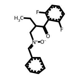 CCC(C[N+]([O-])=Cc1ccccc1)C(=O)c1c(F)cccc1F